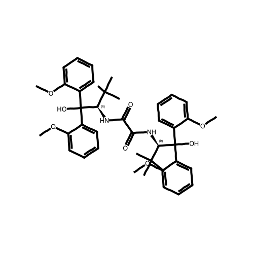 COc1ccccc1C(O)(c1ccccc1OC)[C@H](NC(=O)C(=O)N[C@H](C(C)(C)C)C(O)(c1ccccc1OC)c1ccccc1OC)C(C)(C)C